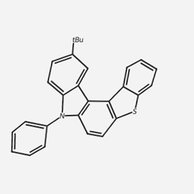 CC(C)(C)c1ccc2c(c1)c1c3c(ccc1n2-c1ccccc1)sc1ccccc13